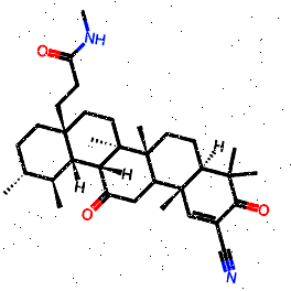 CNC(=O)CC[C@]12CC[C@@H](C)[C@H](C)[C@H]1[C@H]1C(=O)CC3[C@@]4(C)C=C(C#N)C(=O)C(C)(C)[C@@H]4CC[C@@]3(C)[C@]1(C)CC2